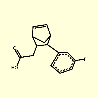 O=C(O)CC1C2C=CC(C2)C1c1cccc(F)c1